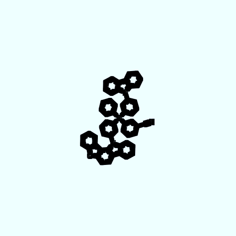 N#Cc1cccc([Si](c2ccccc2)(c2cccc(-n3c4ccccc4c4ccccc43)c2)c2cccc(-n3c4ccccc4c4ccc5oc6ccccc6c5c43)c2)c1